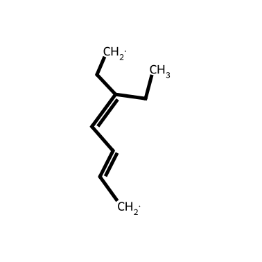 [CH2]C=CC=C(C[CH2])CC